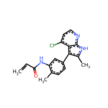 C=CC(=O)Nc1cc(-c2c(C)[nH]c3nccc(Cl)c23)ccc1C